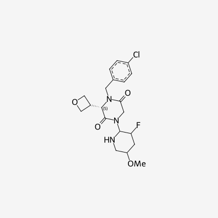 COC1CNC(N2CC(=O)N(Cc3ccc(Cl)cc3)[C@@H](C3COC3)C2=O)C(F)C1